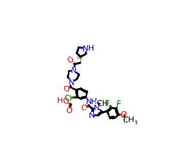 COc1ccc(-c2cnc(C(=O)Nc3ccc(C(=O)N4CCN(C(=O)C[C@@H]5CCNC5)CC4)c(Cl)c3)n2C)c(F)c1F.O=CO